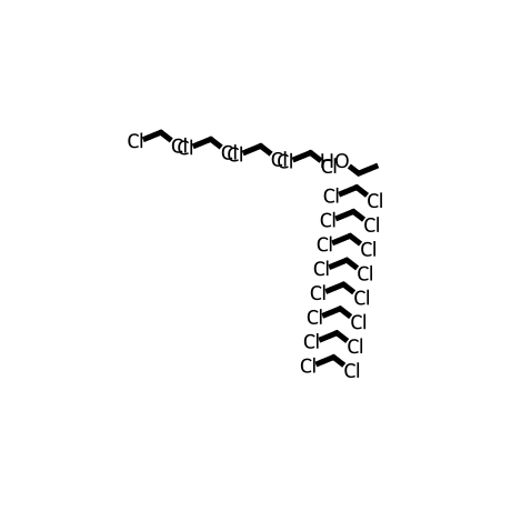 CCO.ClCCl.ClCCl.ClCCl.ClCCl.ClCCl.ClCCl.ClCCl.ClCCl.ClCCl.ClCCl.ClCCl.ClCCl